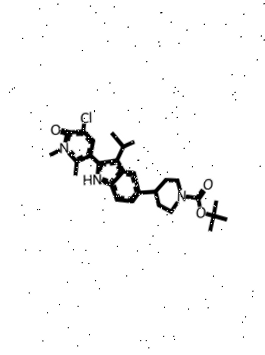 Cc1c(-c2[nH]c3ccc(C4CCN(C(=O)OC(C)(C)C)CC4)cc3c2C(C)C)cc(Cl)c(=O)n1C